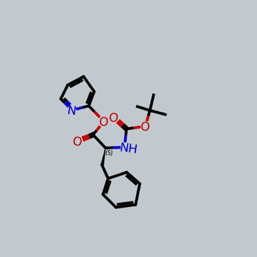 CC(C)(C)OC(=O)N[C@@H](Cc1ccccc1)C(=O)Oc1ccccn1